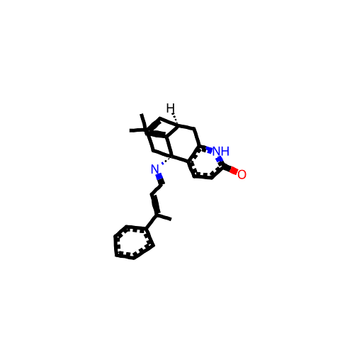 C/C=C1\[C@H]2C=C(C)C[C@]1(/N=C/C=C(\C)c1ccccc1)c1ccc(=O)[nH]c1C2